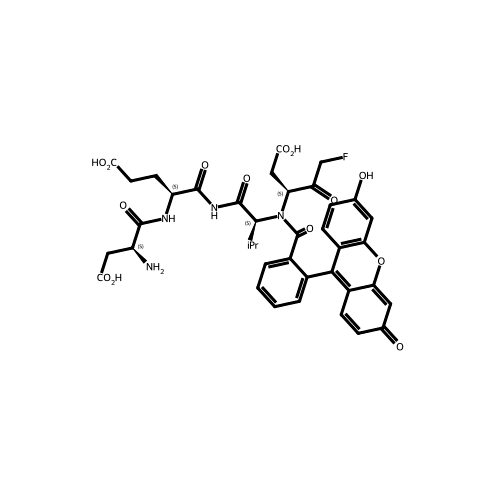 CC(C)[C@@H](C(=O)NC(=O)[C@H](CCC(=O)O)NC(=O)[C@@H](N)CC(=O)O)N(C(=O)c1ccccc1-c1c2ccc(=O)cc-2oc2cc(O)ccc12)[C@@H](CC(=O)O)C(=O)CF